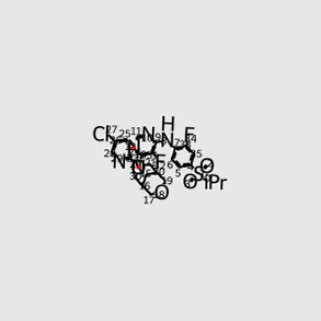 CC(C)S(=O)(=O)c1ccc(Nc2ncnc(OC3C4COCC3CN(c3ncc(Cl)cn3)C4)c2F)c(F)c1